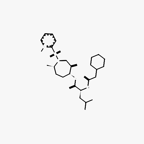 CC(C)C[C@H](NC(=O)CC1CCCCC1)C(=O)N[C@H]1CC[C@@H](C)N(S(=O)(=O)c2cccc[n+]2[O-])CC1=O